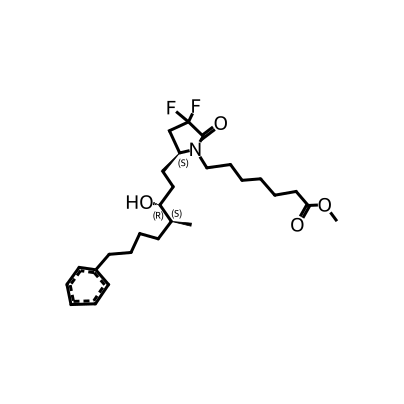 COC(=O)CCCCCCN1C(=O)C(F)(F)C[C@@H]1CC[C@@H](O)[C@@H](C)CCCCc1ccccc1